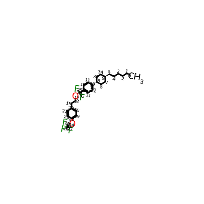 CCCCCC[C@H]1CC[C@H](c2ccc(C(F)(F)OCCc3ccc(OC(F)(F)F)cc3)cc2)CC1